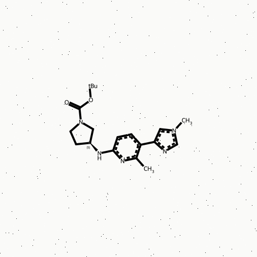 Cc1nc(N[C@H]2CCN(C(=O)OC(C)(C)C)C2)ccc1-c1cn(C)cn1